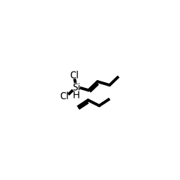 C=CCC.CCC=C[SiH](Cl)Cl